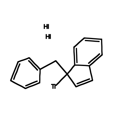 I.I.[Ti][C]1(Cc2ccccc2)C=Cc2ccccc21